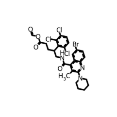 Cc1c(N2CCCCC2)nc2ccc(Br)cc2c1C(=O)NCC(CCC(=O)OC=O)c1c(Cl)ccc(Cl)c1Cl